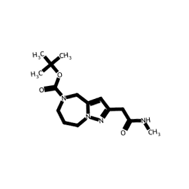 CNC(=O)Cc1cc2n(n1)CCCN(C(=O)OC(C)(C)C)C2